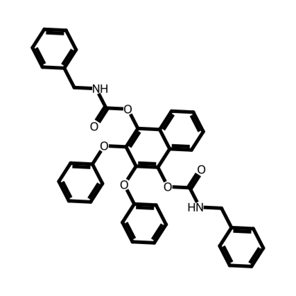 O=C(NCc1ccccc1)Oc1c(Oc2ccccc2)c(Oc2ccccc2)c(OC(=O)NCc2ccccc2)c2ccccc12